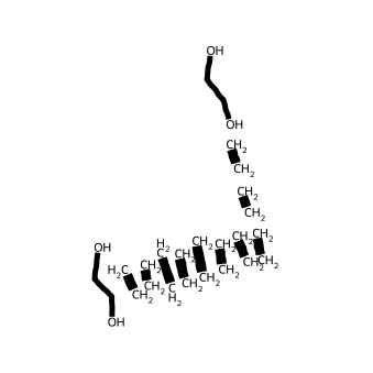 C=C.C=C.C=C.C=C.C=C.C=C.C=C.C=C.C=C.C=C.OCCO.OCCO